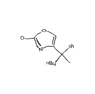 CCCCC(C)(CCC)c1coc(Cl)n1